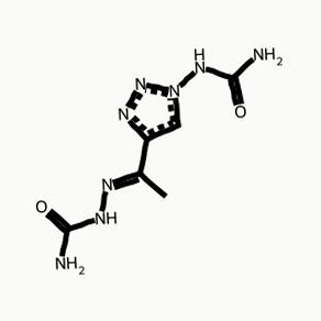 C/C(=N\NC(N)=O)c1cn(NC(N)=O)nn1